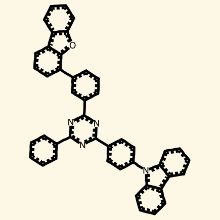 c1ccc(-c2nc(-c3ccc(-n4c5ccccc5c5ccccc54)cc3)nc(-c3cccc(-c4cccc5c4oc4ccccc45)c3)n2)cc1